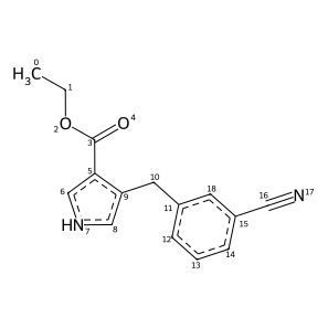 CCOC(=O)c1c[nH]cc1Cc1cccc(C#N)c1